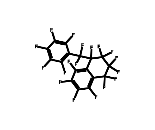 Fc1c(F)c(F)c(C(F)(F)C2(F)c3c(F)c(F)c(F)c(F)c3C(F)(F)C(F)(F)C2(F)F)c(F)c1F